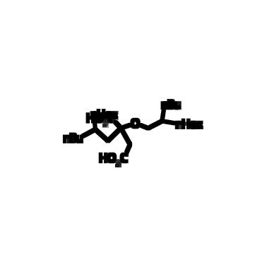 CCCCCCC(CCCC)COC(CC(=O)O)(CC(CCCC)CCCCCC)C(=O)O